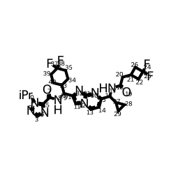 CC(C)n1ncnc1C(=O)N[C@H](c1cn2ccc(C(NC(=O)CC3CC(F)(F)C3)C3CC3)nc2n1)C1CCC(F)(F)CC1